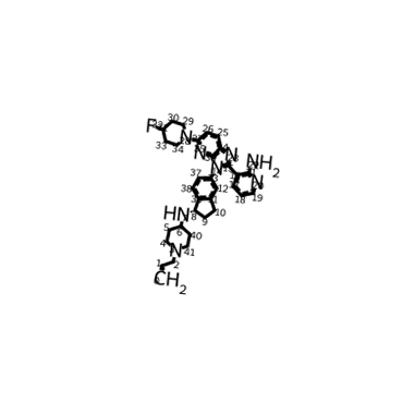 C=CCN1CCC(N[C@H]2CCc3cc(-n4c(-c5cccnc5N)nc5ccc(N6CCC(F)CC6)nc54)ccc32)CC1